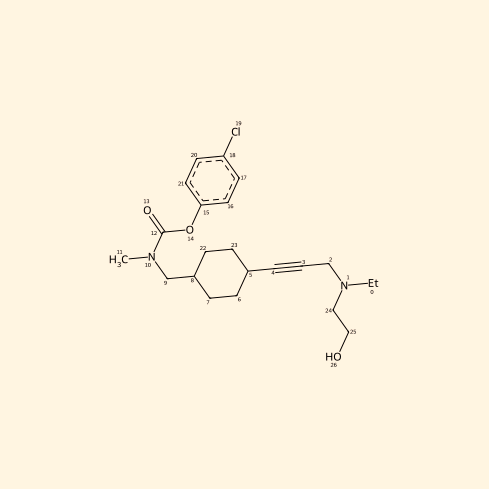 CCN(CC#CC1CCC(CN(C)C(=O)Oc2ccc(Cl)cc2)CC1)CCO